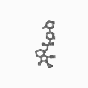 Cc1ccncc1-c1ccc(NC(=O)CN2CCCC3=C2C(O)N(C2CC2)C3=O)nc1